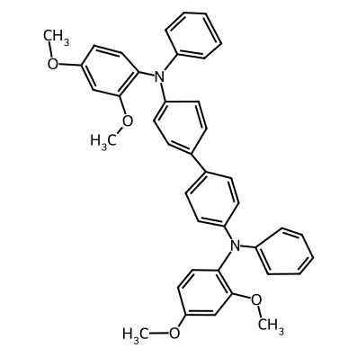 COc1ccc(N(c2ccccc2)c2ccc(-c3ccc(N(c4ccccc4)c4ccc(OC)cc4OC)cc3)cc2)c(OC)c1